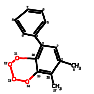 Cc1cc(-c2ccccc2)c2ooooc2c1C